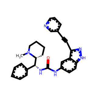 CN1CCCC[C@@H]1[C@H](NC(=O)Nc1ccc2[nH]nc(C#Cc3cccnc3)c2c1)c1ccccc1